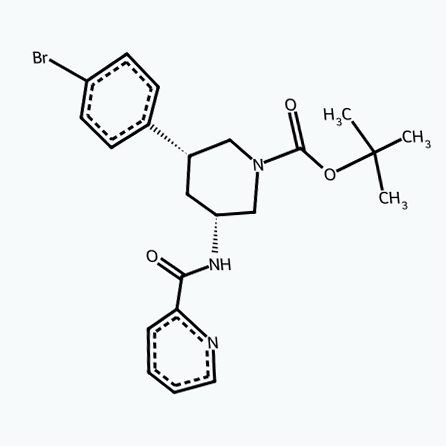 CC(C)(C)OC(=O)N1C[C@H](NC(=O)c2ccccn2)C[C@H](c2ccc(Br)cc2)C1